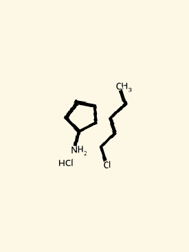 CCCCCCl.Cl.NC1CCCC1